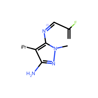 C=C(F)/C=N\c1c(C(C)C)c(N)nn1C